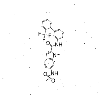 Cn1c(C(=O)Nc2cccc(-c3ccccc3C(F)(F)F)c2)cc2ccc(NS(C)(=O)=O)cc21